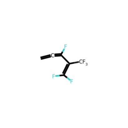 C=C=C(F)C(=C(F)F)C(F)(F)F